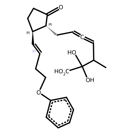 CC(C=C=CC[C@H]1C(=O)CC[C@@H]1/C=C/CCOc1ccccc1)C(O)(O)C(=O)O